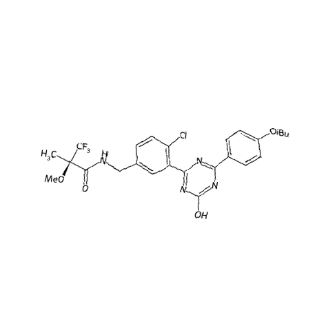 CO[C@](C)(C(=O)NCc1ccc(Cl)c(-c2nc(O)nc(-c3ccc(OCC(C)C)cc3)n2)c1)C(F)(F)F